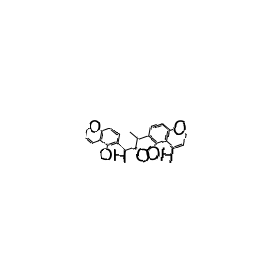 CC(C(=O)C(C)c1ccc2c(c1O)C=CCO2)c1ccc2c(c1O)C=CCO2